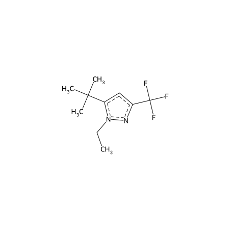 CCn1nc(C(F)(F)F)cc1C(C)(C)C